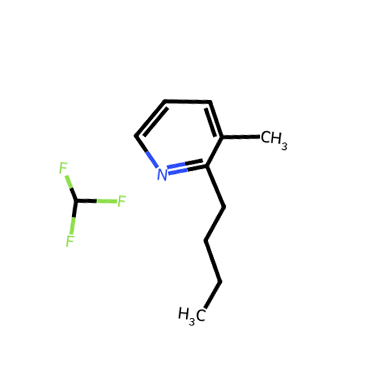 CCCCc1ncccc1C.FC(F)F